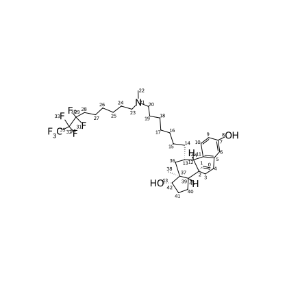 C=C[C@@]12CCc3cc(O)ccc3[C@H]1[C@@H](CCCCCCCN(C)CCCCCCC(F)(F)C(F)(F)C(F)(F)F)C[C@@]1(C)[C@H]2CC[C@@H]1O